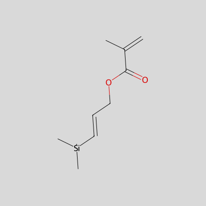 C=C(C)C(=O)OCC=C[Si](C)C